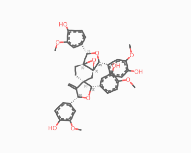 C=C1[C@@H](c2ccc(O)c(OC)c2)O[C@@H](c2ccc(OC)c(O)c2)[C@@]12CC[C@@]13O[C@]1(C2)[C@@H](c1ccc(O)c(OC)c1)O[C@H]3c1ccc(O)c(OC)c1